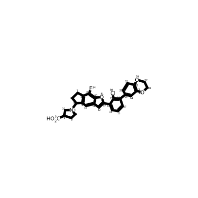 O=C(O)C1CCN(C2CCc3c2cc2cc(-c4cccc(-c5ccc6c(c5)OCCO6)c4Cl)oc2c3F)C1